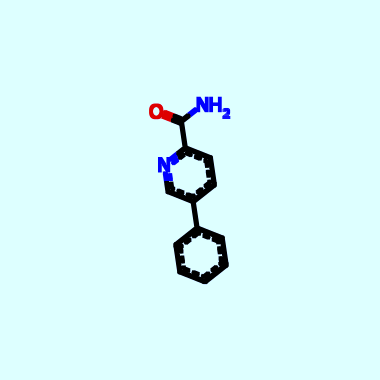 NC(=O)c1ccc(-c2ccccc2)cn1